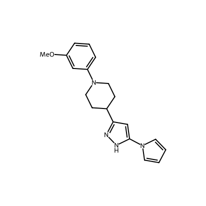 COc1cccc(N2CCC(c3cc(-n4cccc4)[nH]n3)CC2)c1